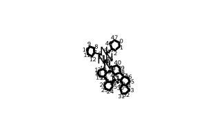 c1ccc(-c2nc(-c3ccccc3)nc(-n3c4cccc5c6ccccc6n6c7c8ccccc8ccc7c7ccc3c(c54)c76)n2)cc1